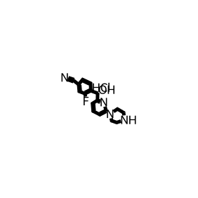 Cl.N#Cc1ccc(C(O)c2cccc(N3CCNCC3)n2)c(F)c1